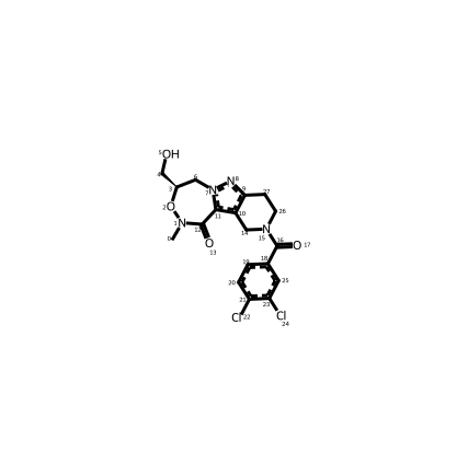 CN1O[C@@H](CO)Cn2nc3c(c2C1=O)CN(C(=O)c1ccc(Cl)c(Cl)c1)CC3